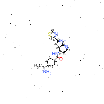 CC(N)C1CCC(C(=O)Nc2ccnc3[nH]c(-c4cscn4)cc23)CC1